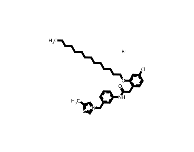 CCCCCCCCCCCCCCOc1cc(Cl)ccc1CC(=O)Nc1cccc(C[n+]2csc(C)c2)c1.[Br-]